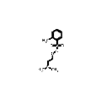 Cc1ccccc1S(=O)(=O)OOCCN(C)C